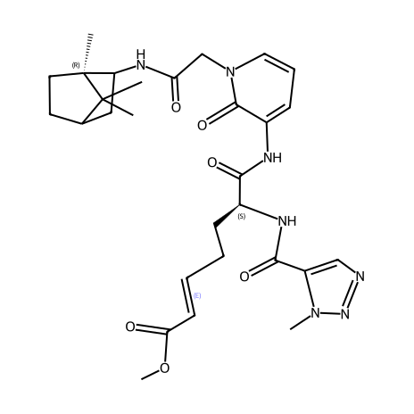 COC(=O)/C=C/CC[C@H](NC(=O)c1cnnn1C)C(=O)Nc1cccn(CC(=O)NC2CC3CC[C@]2(C)C3(C)C)c1=O